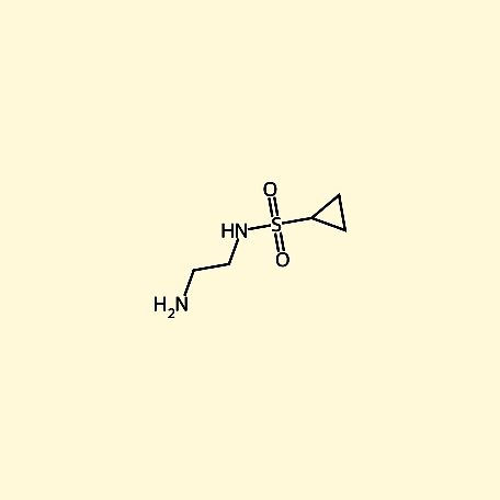 NCCNS(=O)(=O)C1CC1